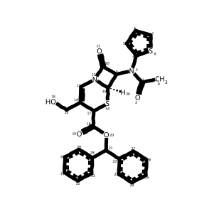 CC(=O)N(c1cccs1)C1C(=O)N2C=C(CO)C(C(=O)OC(c3ccccc3)c3ccccc3)S[C@H]12